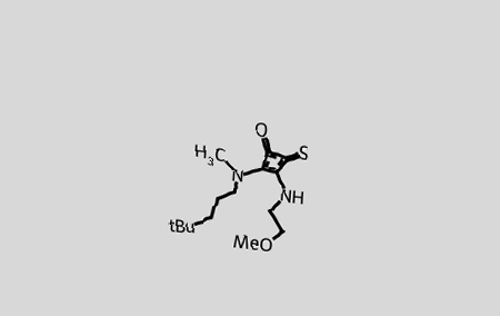 COCCNc1c(N(C)CCCC(C)(C)C)c(=O)c1=S